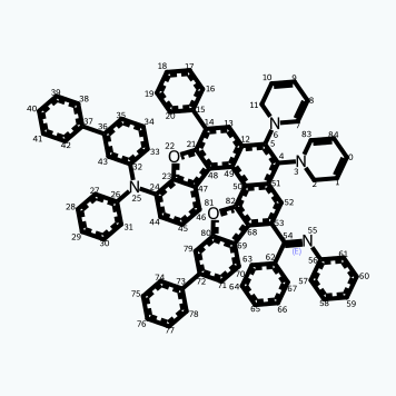 C1=CCN(c2c(N3C=CC=CC3)c3cc(-c4ccccc4)c4oc5c(N(c6ccccc6)c6cccc(-c7ccccc7)c6)cccc5c4c3c3c2cc(/C(=N/c2ccccc2)c2ccccc2)c2c4ccc(-c5ccccc5)cc4oc23)C=C1